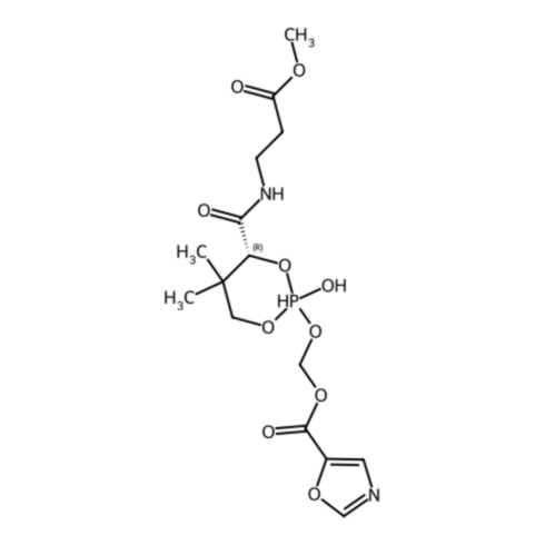 COC(=O)CCNC(=O)[C@@H]1O[PH](O)(OCOC(=O)c2cnco2)OCC1(C)C